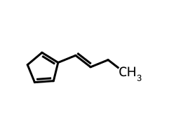 CCC=CC1=CCC=C1